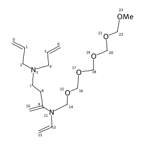 C=CCN(CC=C)CCC(=C)N(C=C)COCOCOCOCOC